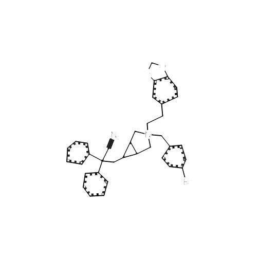 N#CC(CC1C2C[N+](CCc3ccc4c(c3)OCO4)(Cc3ccc(Br)cc3)CC12)(c1ccccc1)c1ccccc1